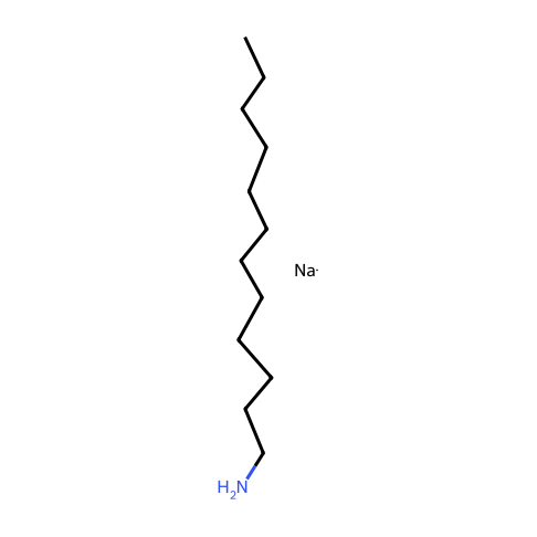 CCCCCCCCCCCCN.[Na]